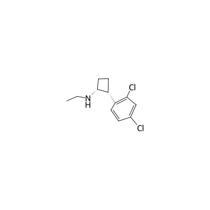 CCN[C@@H]1CC[C@@H]1c1ccc(Cl)cc1Cl